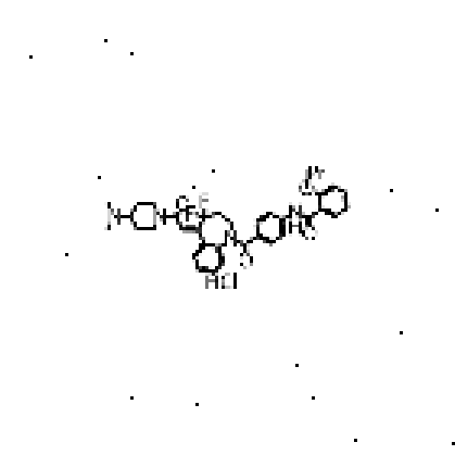 CC(C)Oc1ccccc1C(=O)Nc1ccc(C(=O)N2CCC(F)(F)C(=CC(=O)N3CCC(N(C)C)CC3)c3ccccc32)cc1.Cl